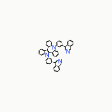 c1cc(-c2cncc3ccccc23)cc(N2c3ccccc3-c3c(n(-c4cccc(-c5cncc6ccccc56)c4)c4ccccc34)-c3ccccc32)c1